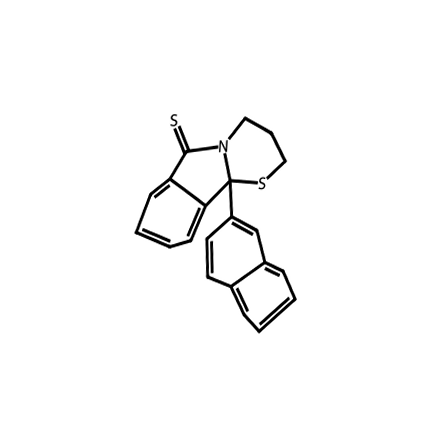 S=C1c2ccccc2C2(c3ccc4ccccc4c3)SCCCN12